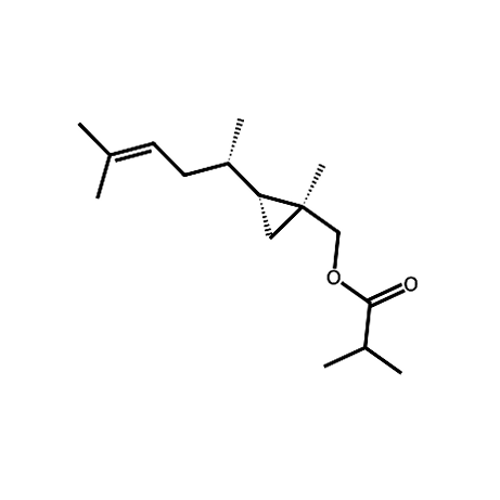 CC(C)=CC[C@H](C)[C@H]1C[C@]1(C)COC(=O)C(C)C